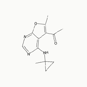 CC(=O)c1c(C)oc2ncnc(NC3(C)CC3)c12